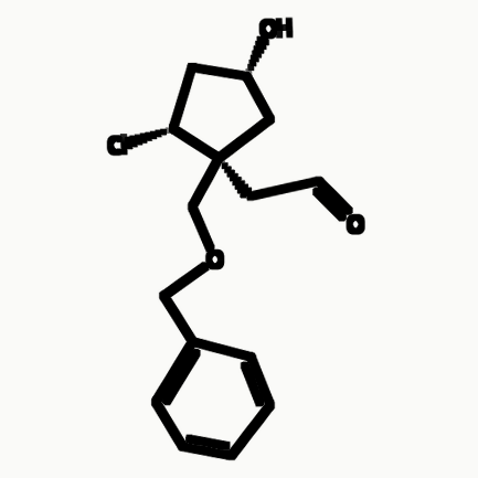 O=CC[C@@]1(COCc2ccccc2)C[C@@H](O)C[C@H]1Cl